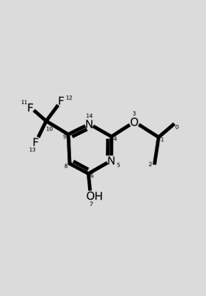 CC(C)Oc1nc(O)cc(C(F)(F)F)n1